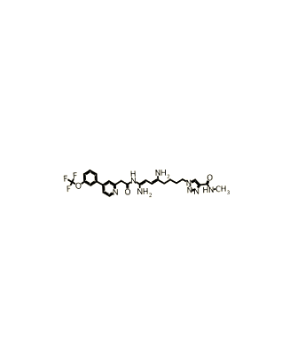 CNC(=O)c1cn(CCCC/C(N)=C/C=C(\N)NC(=O)Cc2cc(-c3cccc(OC(F)(F)F)c3)ccn2)nn1